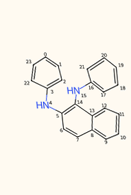 c1ccc(Nc2ccc3ccccc3c2Nc2ccccc2)cc1